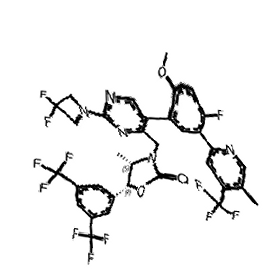 COc1cc(F)c(-c2cc(C(F)(F)F)c(C)cn2)cc1-c1cnc(N2CC(F)(F)C2)nc1CN1C(=O)O[C@H](c2cc(C(F)(F)F)cc(C(F)(F)F)c2)[C@@H]1C